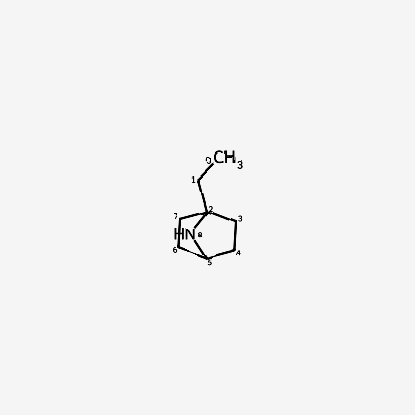 CCC12CCC(CC1)N2